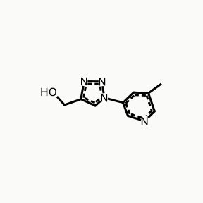 Cc1cncc(-n2cc(CO)nn2)c1